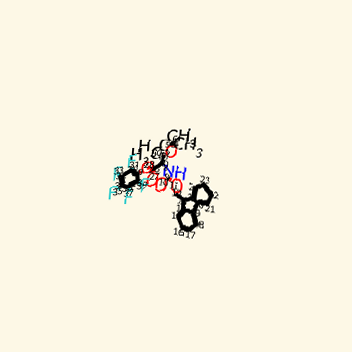 C[C@@H](OC(C)(C)C)[C@H](NC(=O)OCC1c2ccccc2-c2ccccc21)C(=O)Oc1c(F)c(F)c(F)c(F)c1F